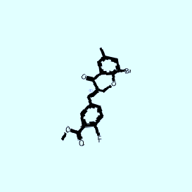 COC(=O)c1cc(/C=C2\COc3c(Br)cc(C)cc3C2=O)ccc1F